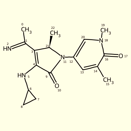 CC(=N)C1=C(NC2CC2)C(=O)N(c2cc(C)c(=O)n(C)c2)[C@@H]1C